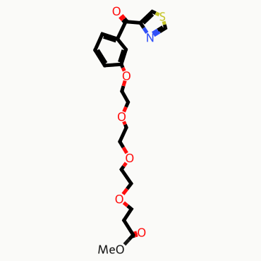 COC(=O)CCOCCOCCOCCOc1cccc(C(=O)c2cscn2)c1